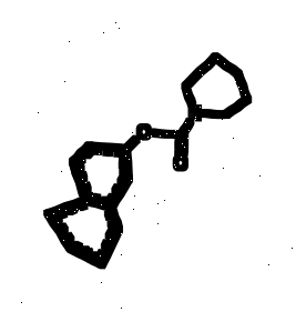 O=C(Oc1ccc2ccccc2c1)N1CCCCC1